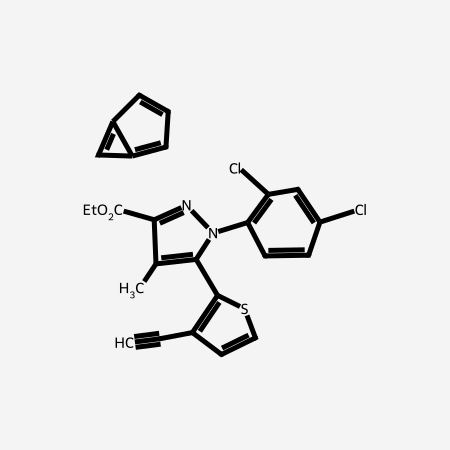 C#Cc1ccsc1-c1c(C)c(C(=O)OCC)nn1-c1ccc(Cl)cc1Cl.c1cc2cc-2c1